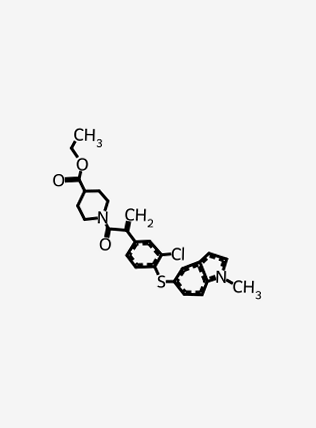 C=C(C(=O)N1CCC(C(=O)OCC)CC1)c1ccc(Sc2ccc3c(ccn3C)c2)c(Cl)c1